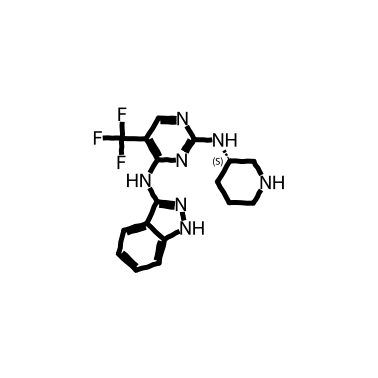 FC(F)(F)c1cnc(N[C@H]2CCCNC2)nc1Nc1n[nH]c2ccccc12